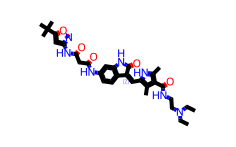 CCN(CC)CCNC(=O)c1c(C)[nH]c(/C=C2\C(=O)Nc3cc(NC(=O)CC(=O)Nc4cc(C(C)(C)C)on4)ccc32)c1C